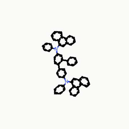 c1ccc(-c2cc(N(c3ccccc3)c3cc4ccccc4c4ccccc34)ccc2-c2ccc(N(c3ccccc3)c3cc4ccccc4c4ccccc34)cc2)cc1